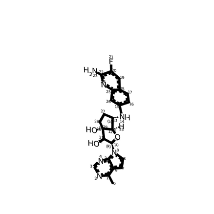 Cc1ncnc2c1ccn2[C@@H]1O[C@@H]2[C@@H](Nc3ccc4cc(F)c(N)nc4c3)CC[C@]2(O)C1O